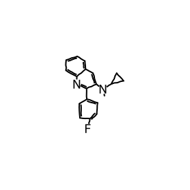 CN(c1cc2ccccc2nc1-c1ccc(F)cc1)C1CC1